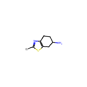 CCc1nc2c(s1)CC(N)CC2